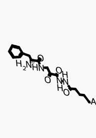 CC(=O)CCCCC(=O)NNC(=O)C(=O)CNC(=O)[C@@H](N)Cc1ccccc1